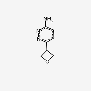 Nc1ccc(C2COC2)nn1